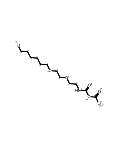 O=C(NCCOCCOCCCCCCCl)OC(=O)C(F)(F)F